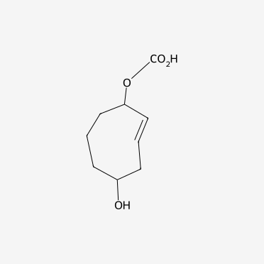 O=C(O)OC1/C=C/CC(O)CCC1